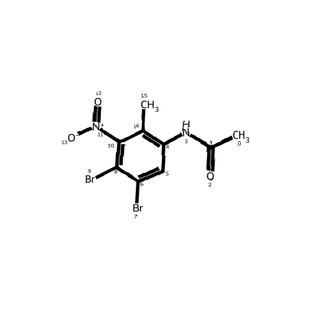 CC(=O)Nc1cc(Br)c(Br)c([N+](=O)[O-])c1C